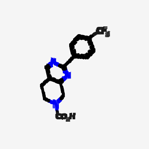 O=C(O)N1CCc2cnc(-c3ccc(C(F)(F)F)cc3)nc2C1